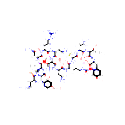 C[C@@H](O)[C@H](NC(=O)[C@H](CCN)NC(=O)[C@H](CS)NC(=O)[C@H](CCCNC(N)=O)NC(=O)[C@@H](CCN)NC(=O)[C@@H](NC(=O)[C@H](CCN)NC(=O)[C@H](CCCNC(=N)N)NC(=O)[C@H](CC(N)=O)NC(=O)[C@@H](NC(=O)[C@H](Cc1ccc(O)cc1)NC(=O)[C@@H](N)CCN)C(C)(C)S)[C@@H](C)O)C(=O)N[C@@H](Cc1ccc(O)cc1)C(=O)O